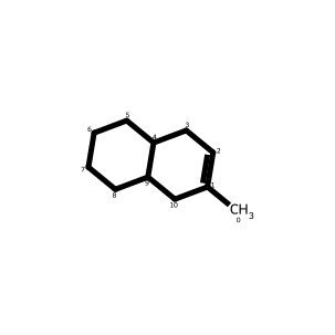 CC1=CCC2CCCCC2C1